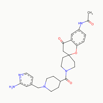 CC(=O)Nc1ccc2c(c1)C(=O)CC1(CCN(C(=O)C3CCN(Cc4ccnc(N)c4)CC3)CC1)O2